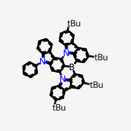 CC(C)(C)c1ccc2c(c1)c1cc(C(C)(C)C)cc3c1n2-c1cc2c(c4c1B3c1cc(C(C)(C)C)cc3c5cc(C(C)(C)C)ccc5n-4c13)c1ccccc1n2-c1ccccc1